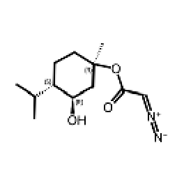 CC(C)[C@@H]1CC[C@@](C)(OC(=O)C=[N+]=[N-])C[C@H]1O